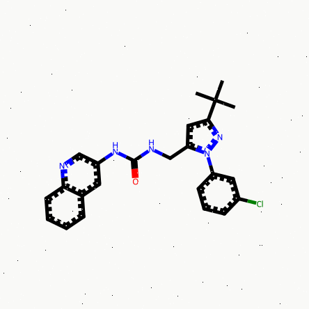 CC(C)(C)c1cc(CNC(=O)Nc2cnc3ccccc3c2)n(-c2cccc(Cl)c2)n1